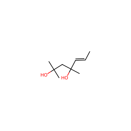 CC=CC(C)(O)CC(C)(C)O